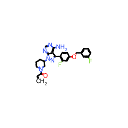 C=CC(=O)N1CCCC(n2nc(-c3ccc(OCc4cccc(F)c4)cc3F)c3c(N)ncnc32)C1